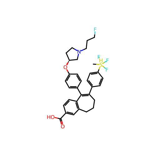 C[SH](F)(F)(F)c1ccc(C2=C(c3ccc(O[C@H]4CCN(CCCF)C4)cc3)c3ccc(C(=O)O)cc3CCC2)cc1